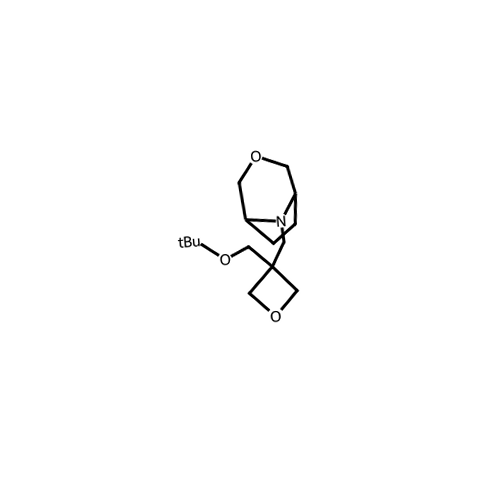 CC(C)(C)OCC1(CN2C3CCC2COC3)COC1